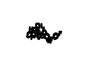 C[C@H](O)CN(CCc1ccccc1F)C(=O)[C@H]1CCC2=Cc3c(cnn3-c3ccc(F)cc3)C[C@@]21C